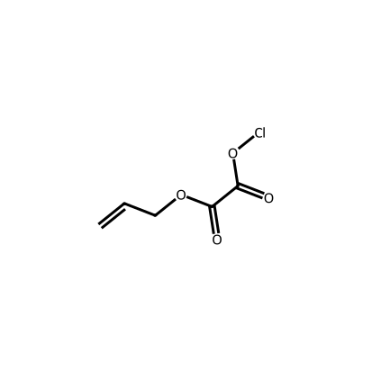 C=CCOC(=O)C(=O)OCl